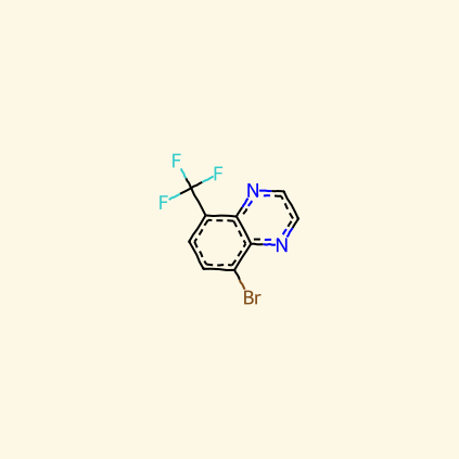 FC(F)(F)c1ccc(Br)c2nccnc12